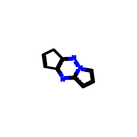 C1=Cc2nc3cccn3nc2C1